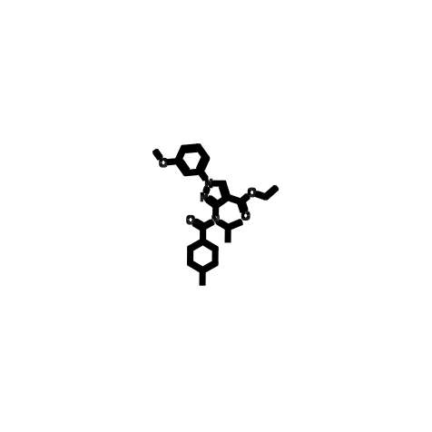 CCOC(=O)c1cn(-c2cccc(OC)c2)nc1N(C(=O)C1CCC(C)CC1)C(C)C